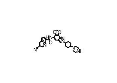 N#Cc1cnn2c(C(=O)Nc3cc4cn(C5CCC(N6CCNCC6)CC5)nc4c4c3OCO4)ccc2c1